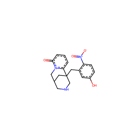 O=c1cccc2n1CC1CNCC2(Cc2cc(O)ccc2[N+](=O)[O-])C1